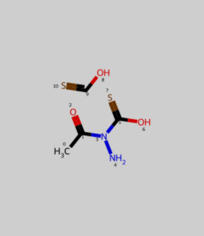 CC(=O)N(N)C(O)=S.OC=S